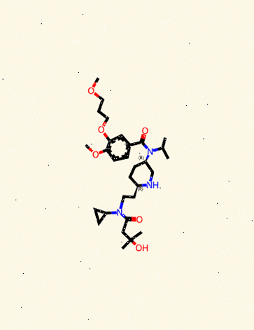 COCCCOc1cc(C(=O)N(C(C)C)[C@@H]2CC[C@H](CCN(C(=O)CC(C)(C)O)C3CC3)NC2)ccc1OC